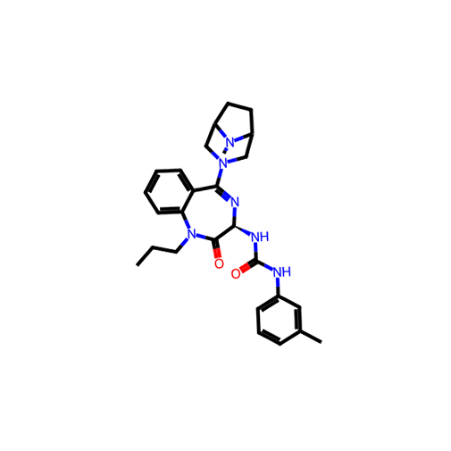 CCCN1C(=O)[C@H](NC(=O)Nc2cccc(C)c2)N=C(N2CC3CCC(C2)N3C)c2ccccc21